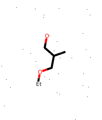 CCOCC(C)C[O]